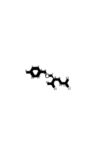 Cc1ccc(COC[C@@H](CCC(C)C)C(C)C)cc1